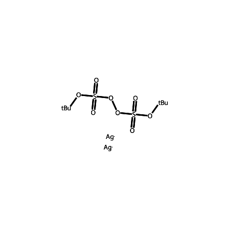 CC(C)(C)OS(=O)(=O)OOS(=O)(=O)OC(C)(C)C.[Ag].[Ag]